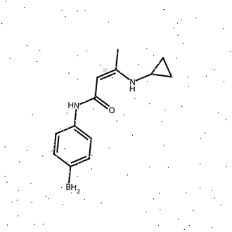 Bc1ccc(NC(=O)/C=C(/C)NC2CC2)cc1